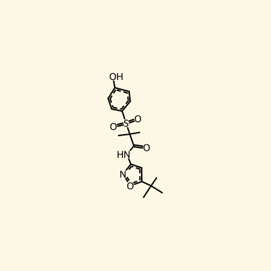 CC(C)(C)c1cc(NC(=O)C(C)(C)S(=O)(=O)c2ccc(O)cc2)no1